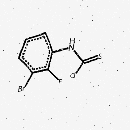 Fc1c(Br)cccc1NC(=S)Cl